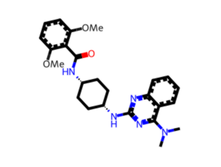 COc1cccc(OC)c1C(=O)N[C@H]1CC[C@@H](Nc2nc(N(C)C)c3ccccc3n2)CC1